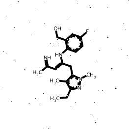 CCc1nn(C)c(C/C(=C/C(C)=N)Nc2ccc(F)cc2CO)c1C